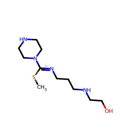 CS/C(=N\CCCNCCO)N1CCNCC1